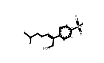 CC(C)CCC=C(CO)c1ccc(S(C)(=O)=O)cc1